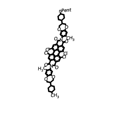 CCCCCC1CCC(C2COc3cc(C)c(N4C(=O)c5cc(Cl)c6c7c(Cl)cc8c9c(cc(Cl)c(c%10c(Cl)cc(c5c6%10)C4=O)c97)C(=O)N(c4cc5c(cc4C)OCC(C4CCC(C)CC4)CO5)C8=O)cc3OC2)CC1